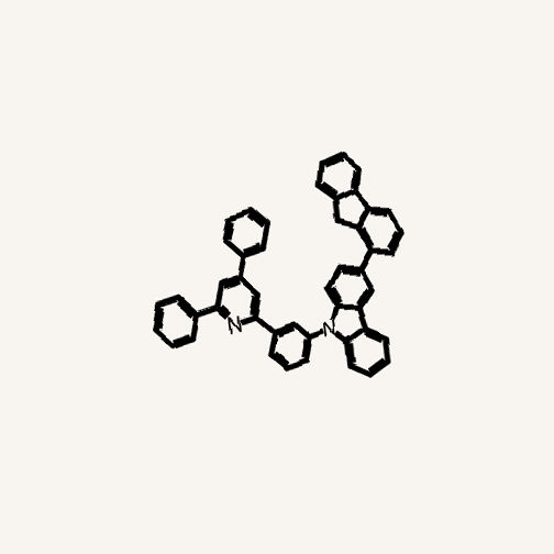 c1ccc(-c2cc(-c3ccccc3)nc(-c3cccc(-n4c5ccccc5c5cc(-c6cccc7c6Cc6ccccc6-7)ccc54)c3)c2)cc1